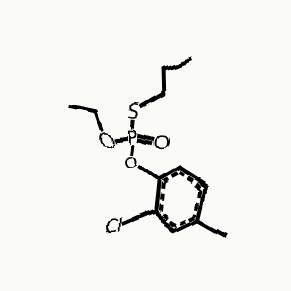 CCCSP(=O)(OCC)Oc1ccc(C)cc1Cl